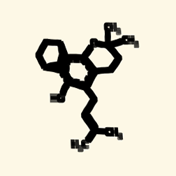 CC(C)=CCc1c(O)c2c(c3c1CCC(C)(C)O3)C1CCC2CC1